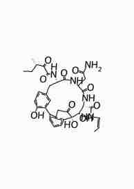 C/C=C\NC(=O)[C@H]1NC(=O)C(CC(N)=O)NC(=O)[C@@H](NC(=O)C(=O)[C@@H](C)CC)Cc2ccc(O)c(c2)-c2cccc3c2CC(=O)[C@@]3(O)[C@@H]1O